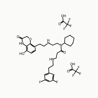 O=C(O)C(F)(F)F.O=C(O)C(F)(F)F.O=C1COc2c(CCNCCN(C(=O)CCNCCc3cc(F)cc(F)c3)C3CCCCC3)ccc(O)c2N1